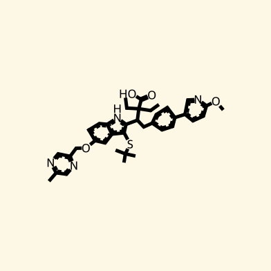 CCC(CC)(C(=O)O)C(Cc1ccc(-c2ccc(OC)nc2)cc1)c1[nH]c2ccc(OCc3cnc(C)cn3)cc2c1SC(C)(C)C